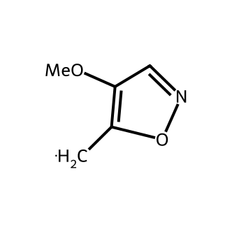 [CH2]c1oncc1OC